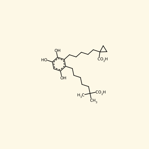 CC(C)(CCCCCc1c(O)cc(O)c(O)c1CCCCCC1(C(=O)O)CC1)C(=O)O